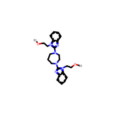 CCOCCn1c(N2CCCN(c3nc4ccccc4n3CCOCC)CC2)nc2ccccc21